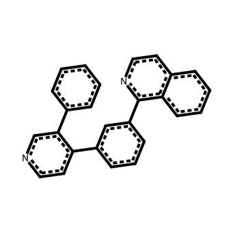 c1ccc(-c2cnccc2-c2cccc(-c3nccc4ccccc34)c2)cc1